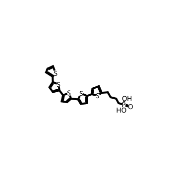 O=P(O)(O)CCCCc1ccc(-c2ccc(-c3ccc(-c4ccc(-c5cccs5)s4)s3)s2)s1